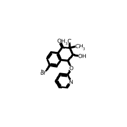 CC1(C)C(=O)c2ccc(Br)cc2C(Oc2ccccn2)C1O